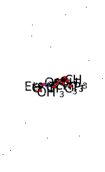 CCOc1ccc(/C=C/C(=O)OC2CCC3(C)C(=CCC4C3CCC3(C)C(C(C)CCC(C)C(C)C)CCC43)C2)cc1CO